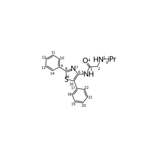 CC(C)NCC(=O)Nc1nc(-c2ccccc2)sc1-c1ccccc1